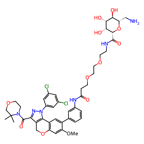 COc1cc2c(cc1-c1cccc(NC(=O)CCOCCOCCNC(=O)[C@H]3O[C@@H](CN)[C@H](O)[C@@H](O)[C@H]3O)c1)-c1c(c(C(=O)N3CCOCC3(C)C)nn1-c1cc(Cl)cc(Cl)c1)CO2